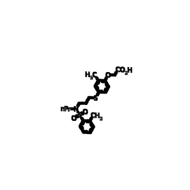 CCCN(CCCSc1ccc(OCC(=O)O)c(C)c1)S(=O)(=O)c1ccccc1C